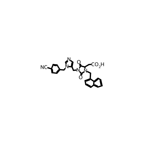 N#Cc1ccc(Cn2cncc2CN2C(=O)C(CC(=O)O)N(Cc3cccc4ccccc34)C2=O)cc1